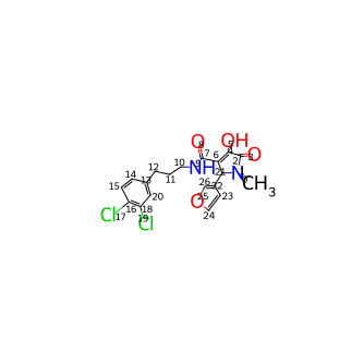 CN1C(=O)C(O)=C(C(=O)NCCCc2ccc(Cl)c(Cl)c2)C1c1ccoc1